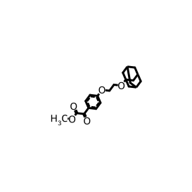 COC(=O)C(=O)c1ccc(OCCOC23CC4CC(CC(C4)C2)C3)cc1